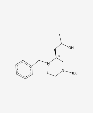 CC(O)C[C@H]1CN(C(C)(C)C)CCN1Cc1ccccc1